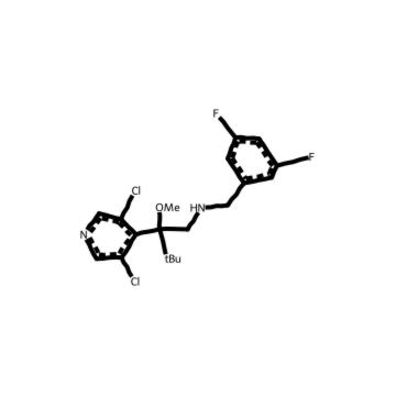 COC(CNCc1cc(F)cc(F)c1)(c1c(Cl)cncc1Cl)C(C)(C)C